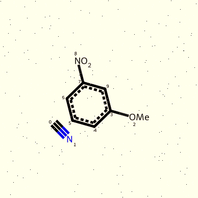 C#N.COc1cccc([N+](=O)[O-])c1